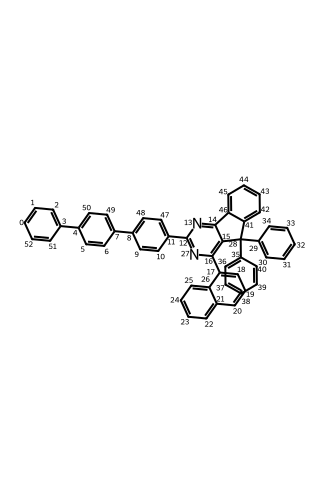 c1ccc(-c2ccc(-c3ccc(-c4nc5c(c(-c6cccc7ccccc67)n4)C(c4ccccc4)(c4ccccc4)c4ccccc4-5)cc3)cc2)cc1